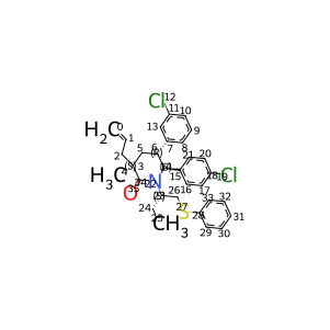 C=CC[C@@]1(C)C[C@H](c2cccc(Cl)c2)[C@@H](c2ccc(Cl)cc2)N([C@@H](CC)CSc2ccccc2)C1=O